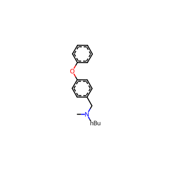 CCCCN(C)Cc1ccc(Oc2ccccc2)cc1